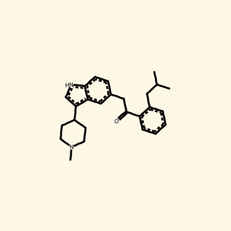 CC(C)Cc1ccccc1C(=O)Cc1ccc2[nH]cc(C3CCN(C)CC3)c2c1